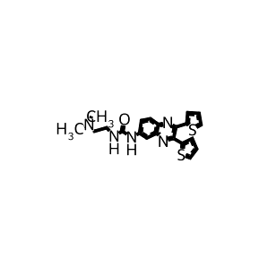 CN(C)CCNC(=O)Nc1ccc2nc(-c3cccs3)c(-c3cccs3)nc2c1